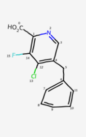 O=C(O)c1ncc(Cc2ccccc2)c(Cl)c1F